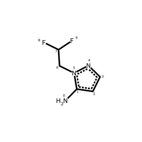 Nc1ccnn1CC(F)F